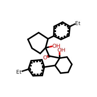 CCc1ccc(C2CCCCC2(O)C(=O)C2(O)CCCCC2c2ccc(CC)cc2)cc1